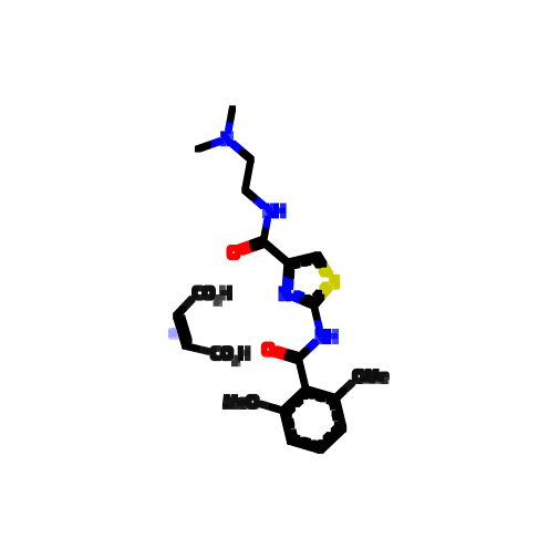 COc1cccc(OC)c1C(=O)Nc1nc(C(=O)NCCN(C)C)cs1.O=C(O)/C=C\C(=O)O